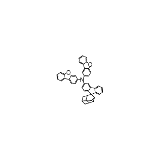 c1ccc2c(c1)-c1cc(N(c3ccc4c(c3)oc3ccccc34)c3ccc4oc5ccccc5c4c3)ccc1C21C2CC3CC(C2)CC1C3